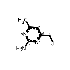 Cc1cc(CI)nc(N)n1